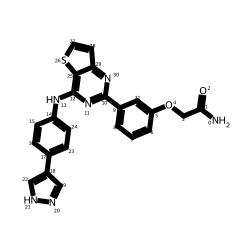 NC(=O)COc1cccc(-c2nc(Nc3ccc(-c4cn[nH]c4)cc3)c3sccc3n2)c1